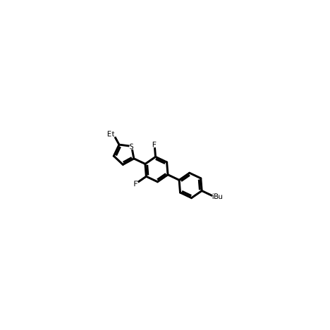 CCc1ccc(-c2c(F)cc(-c3ccc(C(C)CC)cc3)cc2F)s1